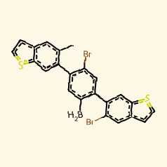 Bc1cc(-c2cc3sccc3cc2C)c(Br)cc1-c1cc2sccc2cc1Br